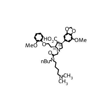 CCCCN(CCCCN(C)C)C(=O)CN1C[C@H](c2cc(OC)c3c(c2)OCO3)[C@@H](C(=O)O)[C@@H]1CCOc1ccccc1OC